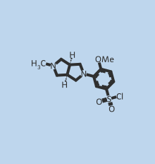 COc1ccc(S(=O)(=O)Cl)cc1N1C[C@H]2CN(C)C[C@H]2C1